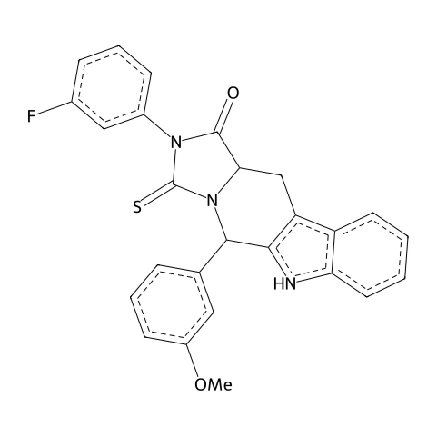 COc1cccc(C2c3[nH]c4ccccc4c3CC3C(=O)N(c4cccc(F)c4)C(=S)N32)c1